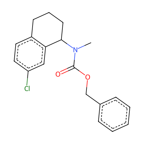 CN(C(=O)OCc1ccccc1)C1CCCc2ccc(Cl)cc21